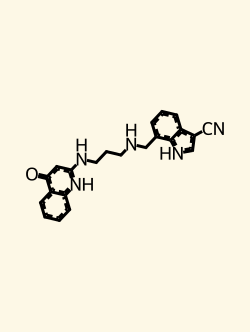 N#Cc1c[nH]c2c(CNCCCNc3cc(=O)c4ccccc4[nH]3)cccc12